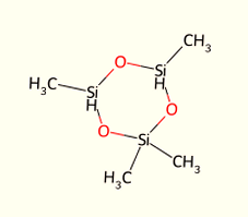 C[SiH]1O[SiH](C)O[Si](C)(C)O1